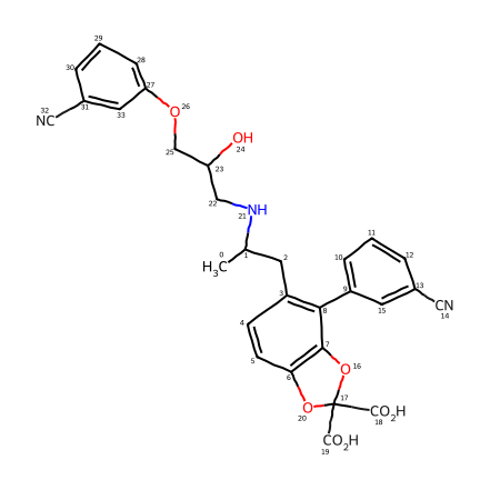 CC(Cc1ccc2c(c1-c1cccc(C#N)c1)OC(C(=O)O)(C(=O)O)O2)NCC(O)COc1cccc(C#N)c1